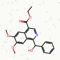 CCOC(=O)c1cnc(C(O)c2ccccc2)c2cc(OC)c(OC)cc12